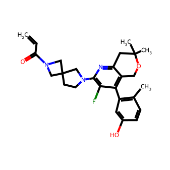 C=CC(=O)N1CC2(CCN(c3nc4c(c(-c5cc(O)ccc5C)c3F)COC(C)(C)C4)C2)C1